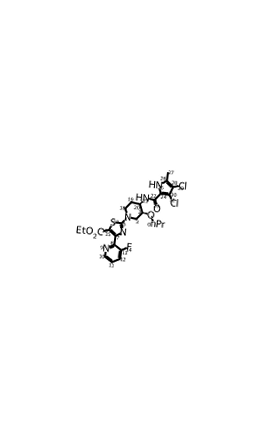 CCCO[C@H]1CN(c2nc(-c3ncccc3F)c(C(=O)OCC)s2)CC[C@H]1NC(=O)c1[nH]c(C)c(Cl)c1Cl